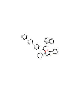 c1ccc(-c2ccc(-c3ccc(N(c4cccc(-c5cccc6ccccc56)c4)c4ccccc4-c4ccc5c(c4)sc4ccccc45)cc3)cc2)cc1